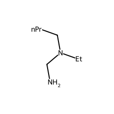 CCCCN(CC)CN